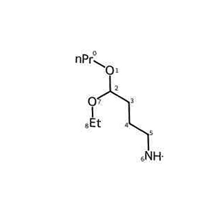 CCCOC(CCC[NH])OCC